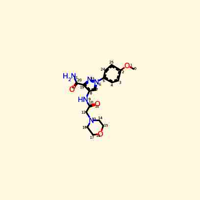 COc1ccc(-n2cc(NC(=O)CN3CCOCC3)c(C(N)=O)n2)cc1